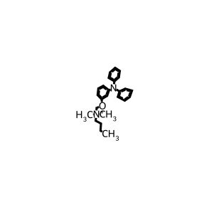 CCCC[N+](C)(C)COc1cccc(N(c2ccccc2)c2ccccc2)c1